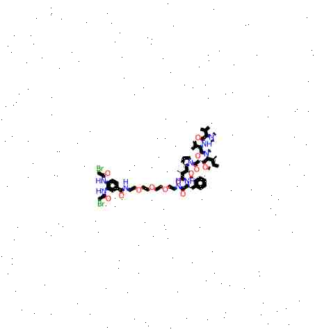 CC[C@H](C)[C@@H]([C@@H](CC(=O)N1CCC[C@H]1[C@H](OC)[C@@H](C)C(=O)N[C@H](Cc1ccccc1)C(=O)NCCOCCOCCOCCNC(=O)c1ccc(NC(=O)CBr)c(NC(=O)CBr)c1)OC)N(C)C(=O)C(NC(=O)C(C(C)C)N(C)C)C(C)C